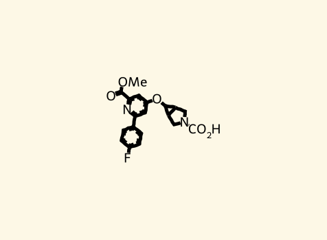 COC(=O)c1cc(OC2C3CN(C(=O)O)CC32)cc(-c2ccc(F)cc2)n1